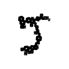 C=CC(=O)N1CC(c2nc3ccc(-c4cc(O)cc5ccccc45)cc3c(=O)n2CCOCCNCc2ccc(OCc3scc4c3CN(C3CCC(=O)NC3=O)C4=O)cc2)C1